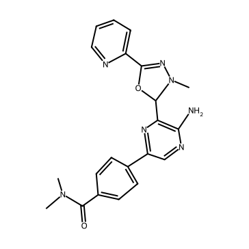 CN(C)C(=O)c1ccc(-c2cnc(N)c(C3OC(c4ccccn4)=NN3C)n2)cc1